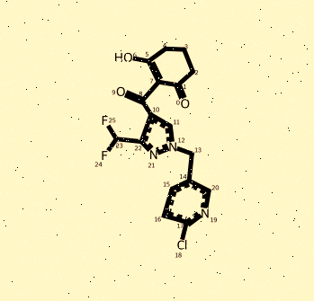 O=C1CCCC(O)=C1C(=O)c1cn(Cc2ccc(Cl)nc2)nc1C(F)F